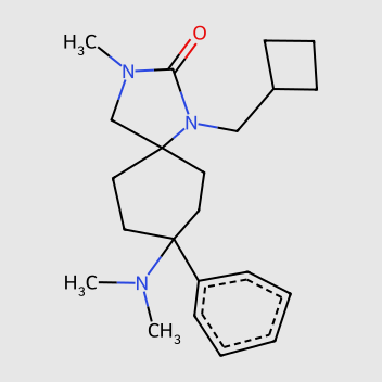 CN1CC2(CCC(c3ccccc3)(N(C)C)CC2)N(CC2CCC2)C1=O